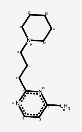 Cc1ccnc(CCCN2CCCCC2)n1